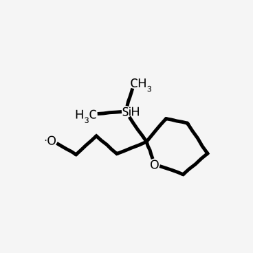 C[SiH](C)C1(CCC[O])CCCCO1